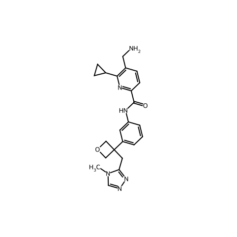 Cn1cnnc1CC1(c2cccc(NC(=O)c3ccc(CN)c(C4CC4)n3)c2)COC1